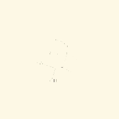 CC(C)(CO)C(=O)C(O)O